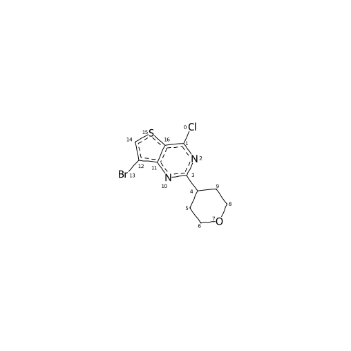 Clc1nc(C2CCOCC2)nc2c(Br)csc12